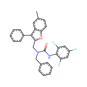 Cc1ccc2oc(CN(Cc3ccccc3)C(=O)Nc3c(F)cc(F)cc3F)c(-c3ccccc3)c2c1